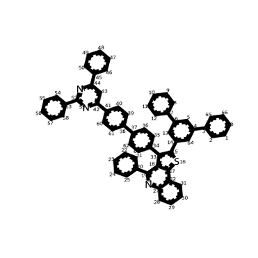 c1ccc(-c2cc(-c3ccccc3)cc(-c3sc4c(c(-c5ccccc5)nc5ccccc54)c3-c3ccc(-c4ccc(-c5cc(-c6ccccc6)nc(-c6ccccc6)n5)cc4)cc3)c2)cc1